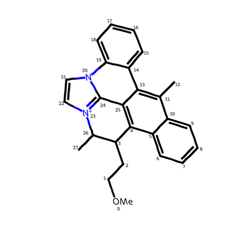 COCCC1c2c3ccccc3c(C)c3c4ccccc4n4cc[n+](c4c23)C1C